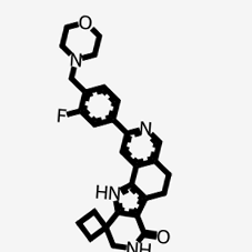 O=C1NCC2(CCC2)c2[nH]c3c(c21)CCc1cnc(-c2ccc(CN4CCOCC4)c(F)c2)cc1-3